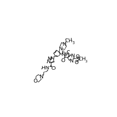 CN1CCN(c2ccc(-n3cc(C(=O)NCCCN4CCOCC4)nn3)cc2NC(=O)c2cnc(S(C)(=O)=O)nc2C(F)(F)F)CC1